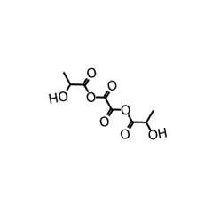 CC(O)C(=O)OC(=O)C(=O)OC(=O)C(C)O